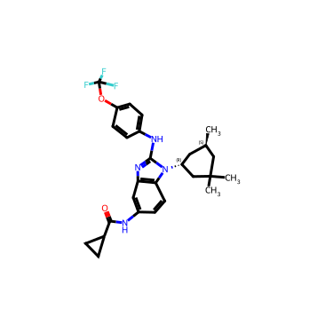 C[C@@H]1C[C@@H](n2c(Nc3ccc(OC(F)(F)F)cc3)nc3cc(NC(=O)C4CC4)ccc32)CC(C)(C)C1